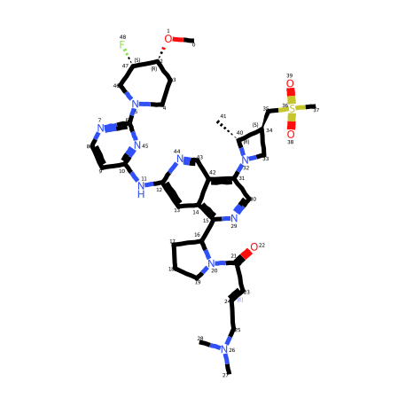 CO[C@@H]1CCN(c2nccc(Nc3cc4c(C5CCCN5C(=O)/C=C/CN(C)C)ncc(N5C[C@H](CS(C)(=O)=O)[C@H]5C)c4cn3)n2)C[C@@H]1F